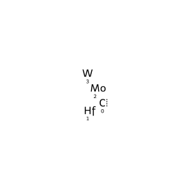 [C].[Hf].[Mo].[W]